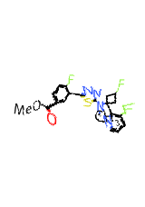 COC(=O)c1ccc(F)c(-c2nnc(N(C)C3(c4ncccc4F)CC(F)C3)s2)c1